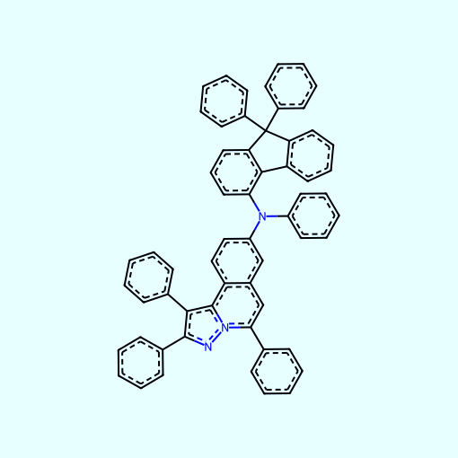 c1ccc(-c2nn3c(-c4ccccc4)cc4cc(N(c5ccccc5)c5cccc6c5-c5ccccc5C6(c5ccccc5)c5ccccc5)ccc4c3c2-c2ccccc2)cc1